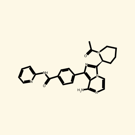 CC(=O)N1CCCC[C@H]1c1nc(-c2ccc(C(=O)Nc3ccccn3)cc2)c2c(N)nccn12